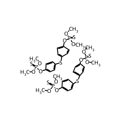 COP(=S)(OC)Oc1ccc(Sc2ccc(OP(=S)(OC)OC)cc2)cc1.COP(=S)(OC)Oc1ccc(Sc2ccc(OP(=S)(OC)OC)cc2)cc1